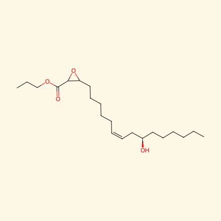 CCCCCC[C@@H](O)C/C=C\CCCCCC1OC1C(=O)OCCC